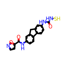 O=C(NS)Nc1ccc2c(c1)Cc1cc(NC(=O)c3ccno3)ccc1-2